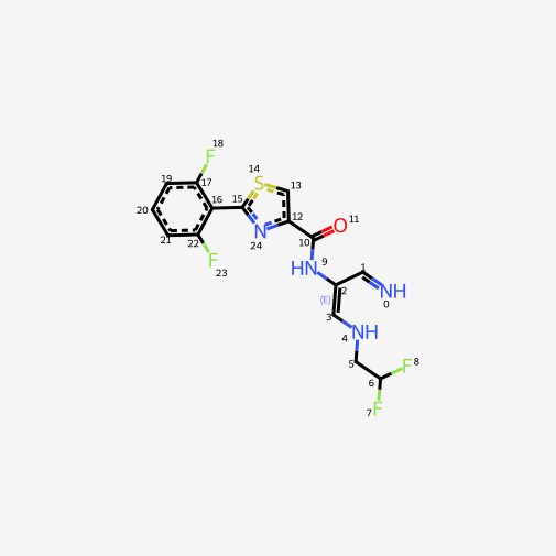 N=C/C(=C\NCC(F)F)NC(=O)c1csc(-c2c(F)cccc2F)n1